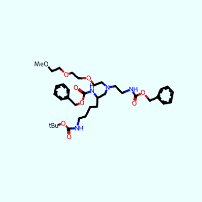 COCCOCCOCCN(CCNC(=O)OCc1ccccc1)CC(CCCCNC(=O)OC(C)(C)C)NC(=O)OCc1ccccc1